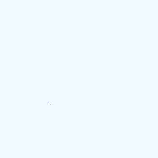 c1ccc(C2(c3ccc4c(c3)[nH]c3ccccc34)c3ccccc3-c3ccccc32)cc1